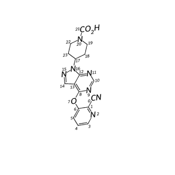 N#Cc1ncccc1Oc1ncnc2c1cnn2C1CCN(C(=O)O)CC1